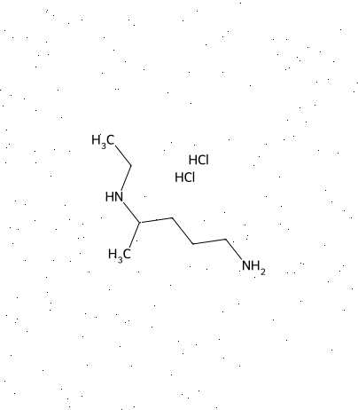 CCNC(C)CCCN.Cl.Cl